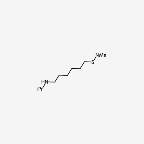 CNSCCCCCCNC(C)C